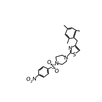 Cc1cc(C)c(Cc2csc(N3CCN(S(=O)(=O)c4ccc([N+](=O)[O-])cc4)CC3)n2)c(C)c1